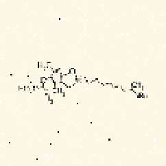 CCCCC(C)CCCCCCCC[C@@H]1CCc2c(cc(C)c(OC(C)C(=O)O)c2C)O1